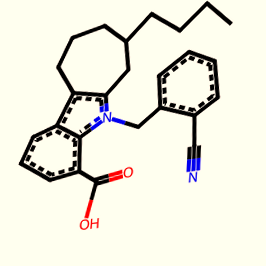 CCCCC1CCCc2c(n(Cc3ccccc3C#N)c3c(C(=O)O)cccc23)C1